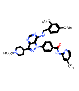 COc1ccc(CNc2ncnc3c(C4CCN(C(=O)O)CC4)nn(-c4ccc(C(=O)Nc5cc(C(F)(F)F)ccn5)cc4)c23)c(OC)c1